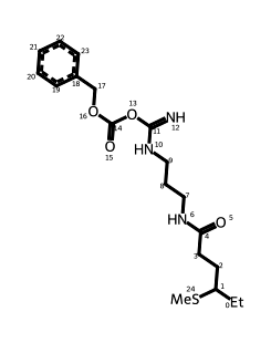 CCC(CCC(=O)NCCCNC(=N)OC(=O)OCc1ccccc1)SC